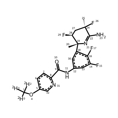 [2H]C([2H])([2H])Oc1ccc(C(=O)Nc2cc(F)c(F)c([C@@]3(C)N=C(N)[C@](C)(F)C[C@@H]3F)c2)nc1